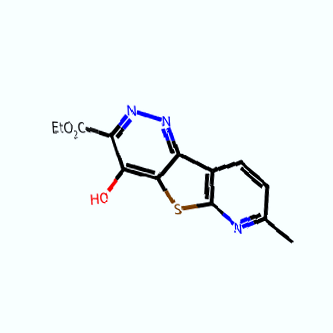 CCOC(=O)c1nnc2c(sc3nc(C)ccc32)c1O